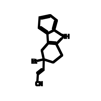 CCC1(/C=C/C#N)CCc2[nH]c3ccccc3c2C1